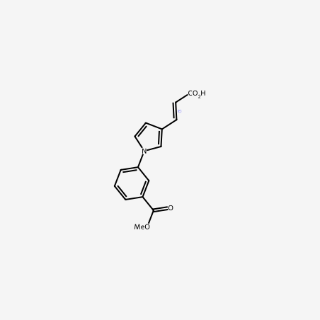 COC(=O)c1cccc(-n2ccc(/C=C/C(=O)O)c2)c1